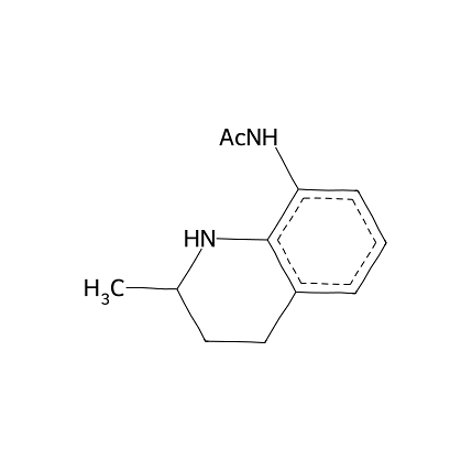 CC(=O)Nc1cccc2c1NC(C)CC2